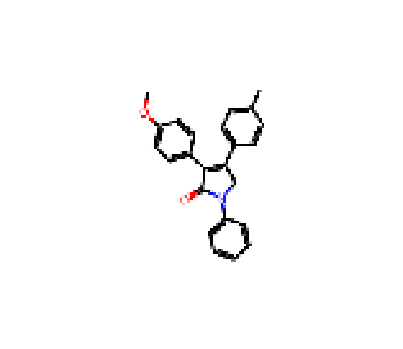 COc1ccc(C2=C(c3ccc(C)cc3)CN(c3ccccc3)C2=O)cc1